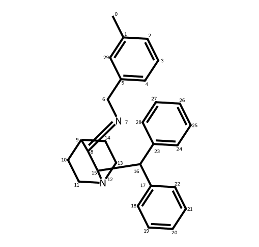 Cc1cccc(CN=C2C3CCN(CC3)C2C(c2ccccc2)c2ccccc2)c1